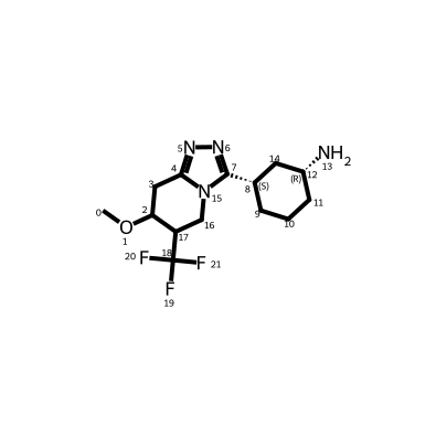 COC1Cc2nnc([C@H]3CCC[C@@H](N)C3)n2CC1C(F)(F)F